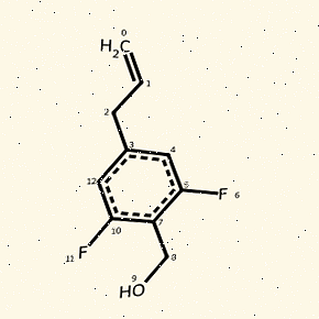 C=CCc1cc(F)c(CO)c(F)c1